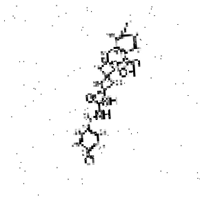 Cc1ccc(S(=O)(=O)O)c(CC2CC3(C2)CC(NC(=O)NCc2ccc(Cl)cc2)C3)c1